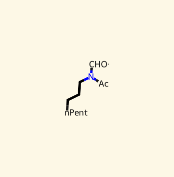 CCCCCCCCN([C]=O)C(C)=O